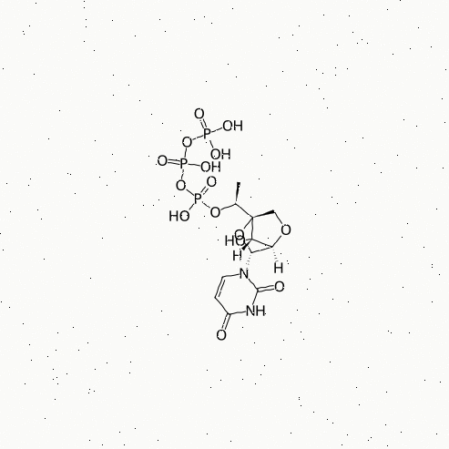 C[C@H](OP(=O)(O)OP(=O)(O)OP(=O)(O)O)[C@@]12CO[C@@H]([C@H](n3ccc(=O)[nH]c3=O)O1)[C@@H]2O